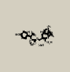 CC(=O)N1C[C@H]2CC(CSc3nnnn3C(C(N)=O)c3ccc(O)cc3)=C(C(=O)O)N3C(=O)[C@@H]1[C@@H]23.[NaH]